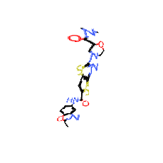 Cc1nc2cc(NC(=O)c3cc4sc(N5CCOC(C(=O)N(C)C)C5)nc4s3)ccc2o1